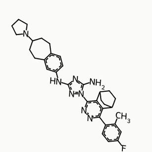 Cc1cc(F)ccc1-c1nnc(-n2nc(Nc3ccc4c(c3)CCC(N3CCCC3)CC4)nc2N)c2c1C1CCC2CC1